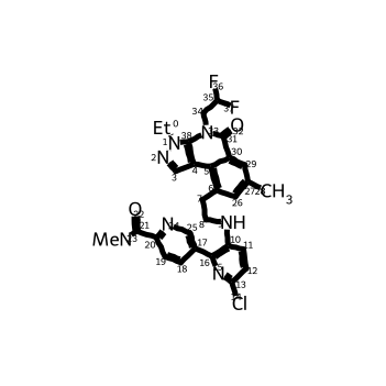 CCn1ncc2c3c(CCNc4ccc(Cl)nc4-c4ccc(C(=O)NC)nc4)cc(C)cc3c(=O)n(CC(F)F)c21